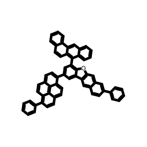 c1ccc(-c2ccc3cc4c(cc3c2)oc2c(-c3c5ccccc5cc5c3ccc3ccccc35)cc(-c3ccc5ccc6c(-c7ccccc7)ccc7ccc3c5c76)cc24)cc1